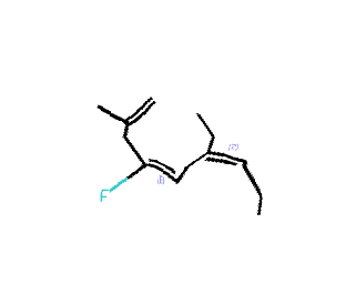 C=C(C)/C(F)=C\C(C)=C/C